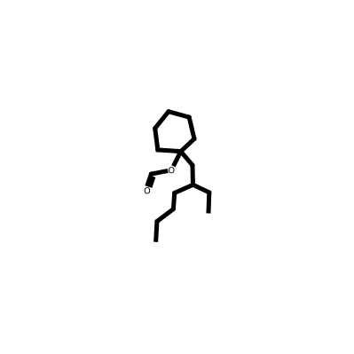 CCCCC(CC)CC1(OC=O)CCCCC1